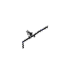 CCCCCC/C=C\CCCCCCCC(=O)OC(COC(=O)CCCCCCCCC/C=C/CCCCCC)COP(=O)(O)OCC[N+](C)(C)C